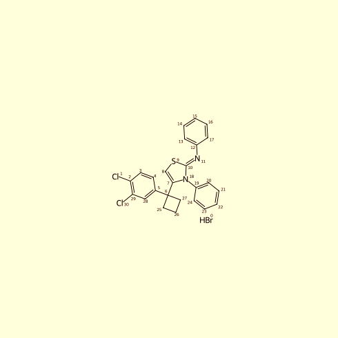 Br.Clc1ccc(C2(c3csc(=Nc4ccccc4)n3-c3ccccc3)CCC2)cc1Cl